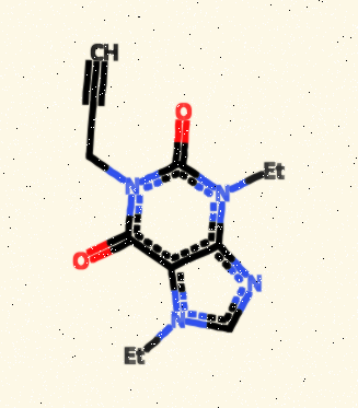 C#CCn1c(=O)c2c(ncn2CC)n(CC)c1=O